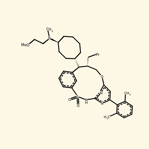 COCCN(C)[C@H]1CCCC[C@H](C2c3cccc(c3)S(=O)(=O)Nc3nc(cc(-c4c(C)cccc4C)n3)OC[C@H]2CC(C)C)CC1